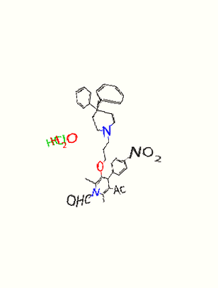 CC(=O)C1=C(C)N(C=O)C(C)=C(OCCCN2CCC(c3ccccc3)(c3ccccc3)CC2)C1c1ccc([N+](=O)[O-])cc1.Cl.O